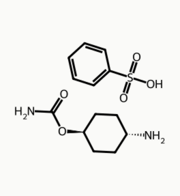 NC(=O)O[C@H]1CC[C@H](N)CC1.O=S(=O)(O)c1ccccc1